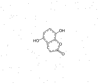 O=c1ccc2c(O)ccc(O)c2o1